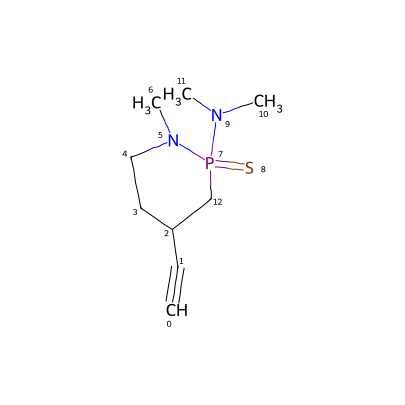 C#CC1CCN(C)P(=S)(N(C)C)C1